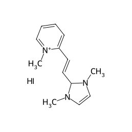 CN1C=CN(C)C1C=Cc1cccc[n+]1C.I